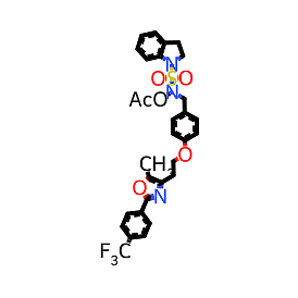 CC(=O)ON(Cc1ccc(OCCc2nc(-c3ccc(C(F)(F)F)cc3)oc2C)cc1)S(=O)(=O)N1CCc2ccccc21